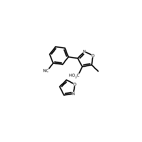 Cc1onc(-c2cccc(C#N)c2)c1C(=O)O.c1cnoc1